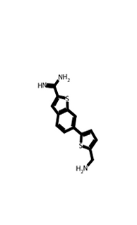 N=C(N)c1cc2ccc(-c3ccc(CN)s3)cc2s1